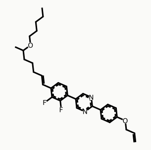 C=CCOc1ccc(-c2ncc(-c3ccc(C=CCCCC(C)OCCCCC)c(F)c3F)cn2)cc1